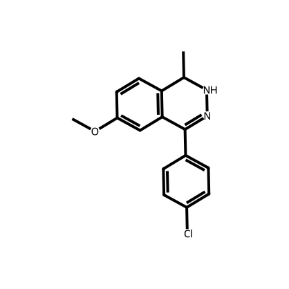 COc1ccc2c(c1)C(c1ccc(Cl)cc1)=NNC2C